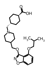 CC(C)COc1cccc2onc(OCC3CCN(C[C@H]4CC[C@H](C(=O)O)CC4)CC3)c12